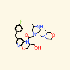 C[C@@H]1CN(CC(=O)N2c3cc(Cc4ccc(F)cc4)cnc3OCC2CO)[C@@H](CN2CCOC[C@H]2C)CN1